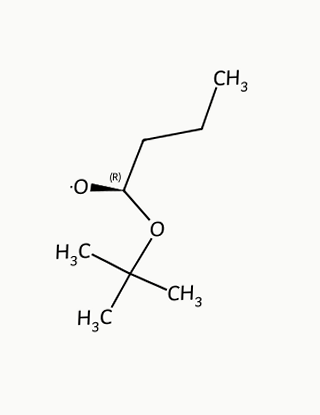 CCC[C@H]([O])OC(C)(C)C